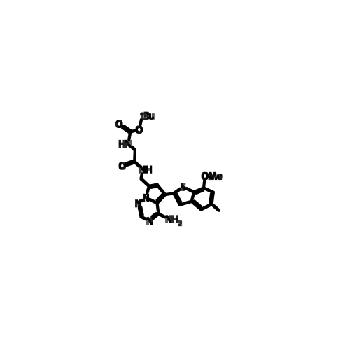 COc1cc(C)cc2cc(-c3cc(CNC(=O)CNC(=O)OC(C)(C)C)n4ncnc(N)c34)sc12